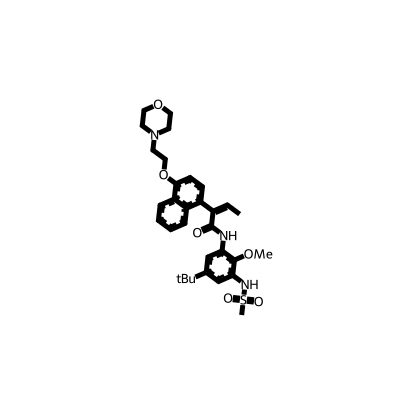 C/C=C(\C(=O)Nc1cc(C(C)(C)C)cc(NS(C)(=O)=O)c1OC)c1ccc(OCCN2CCOCC2)c2ccccc12